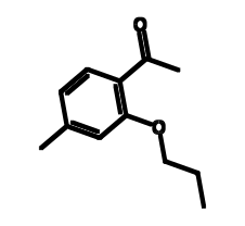 CCCOc1cc(C)ccc1C(C)=O